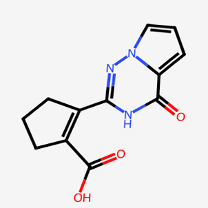 O=C(O)C1=C(c2nn3cccc3c(=O)[nH]2)CCC1